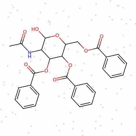 CC(=O)NC1C(O)OC(COC(=O)c2ccccc2)C(OC(=O)c2ccccc2)C1OC(=O)c1ccccc1